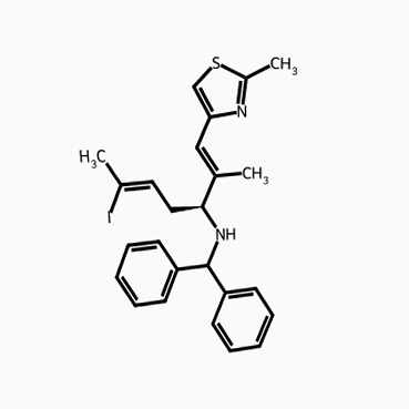 C/C(I)=C/C[C@H](NC(c1ccccc1)c1ccccc1)/C(C)=C/c1csc(C)n1